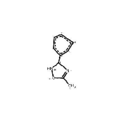 CC1=NC(c2ccccc2)NO1